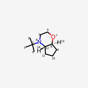 CC(C)(C)N1CCO[C@H]2CCC[C@@H]21